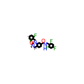 C[C@H]1c2ccc(C(=O)NCc3c(F)cc(F)cc3F)cc2N(Cc2c(F)c[c]cc2F)C(=O)N1C